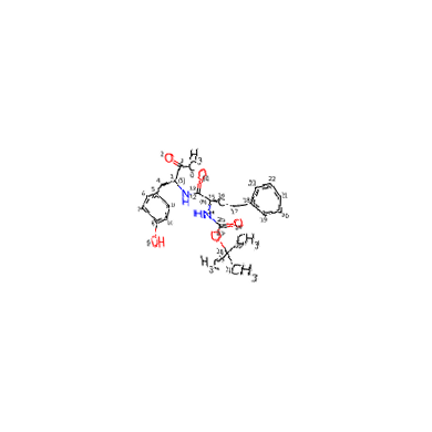 CC(=O)[C@H](Cc1ccc(O)cc1)NC(=O)[C@@H](CCc1ccccc1)NC(=O)OC(C)(C)C